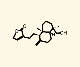 C=C1CC[C@@H]2[C@](C)(CO)CCC[C@@]2(C)[C@@H]1CCC1=CCOC1=O